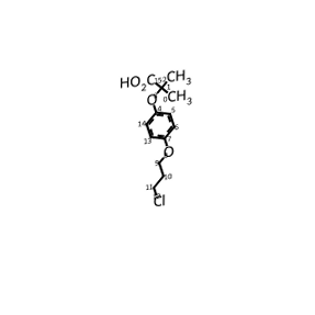 CC(C)(Oc1ccc(OCCCCl)cc1)C(=O)O